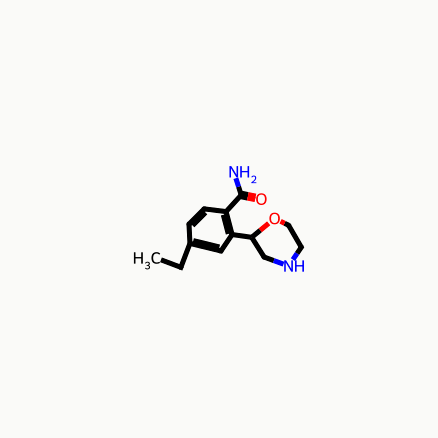 CCc1ccc(C(N)=O)c(C2CNCCO2)c1